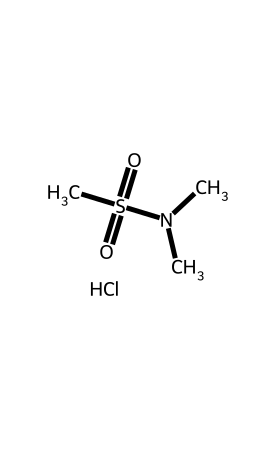 CN(C)S(C)(=O)=O.Cl